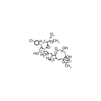 CC[C@H](OC)[C@@H](C)[C@H]1O[C@@H]1C(N(CCO)Cc1ccc(Cl)cc1)C(C)(O)/C=C/C=C(\C)[C@H]1OC(=O)C[C@H](O)CC[C@@](C)(O)[C@@H](OC(C)=O)/C=C/[C@@H]1C